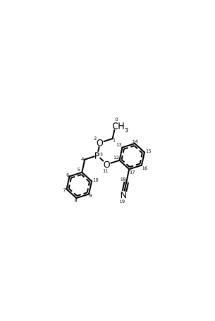 CCOP(Cc1ccccc1)Oc1ccccc1C#N